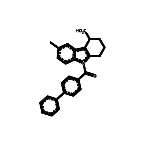 O=C(O)C1CCCc2c1c1cc(I)ccc1n2C(=O)c1ccc(-c2ccccc2)cc1